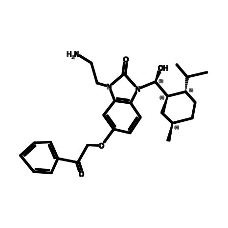 CC(C)[C@@H]1CC[C@@H](C)C[C@H]1[C@H](O)n1c(=O)n(CCN)c2cc(OCC(=O)c3ccccc3)ccc21